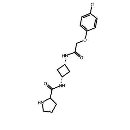 O=C(COc1ccc(Cl)cc1)N[C@H]1C[C@@H](NC(=O)C2CCCN2)C1